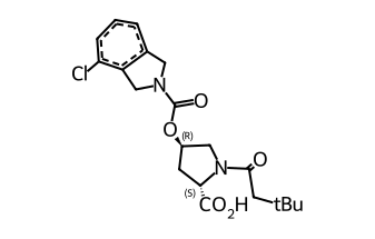 CC(C)(C)CC(=O)N1C[C@H](OC(=O)N2Cc3cccc(Cl)c3C2)C[C@H]1C(=O)O